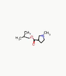 CC(C)COC(=O)C1CCN(C)C1